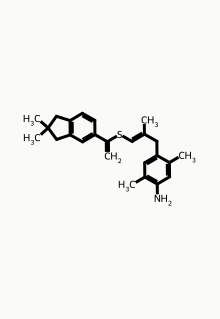 C=C(S/C=C(\C)Cc1cc(C)c(N)cc1C)c1ccc2c(c1)CC(C)(C)C2